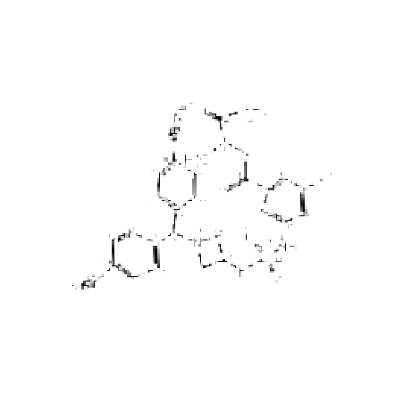 C[C@H](NC(=O)c1cc(F)cc(NS(=O)(=O)CC2CN(C(c3ccc(C#N)cc3)c3ccc(C#N)cc3)C2)c1)C(N)=O